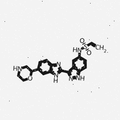 C=CS(=O)(=O)Nc1ccc2[nH]nc(-c3nc4ccc(C5CNCCO5)cc4[nH]3)c2c1